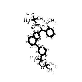 CSc1ccccc1C(N[S+]([O-])C(C)(C)C)c1cc2cccc(-c3cc(C4(C)COC(C)(C)O4)ccn3)c2s1